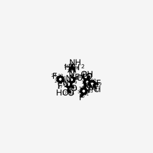 N[C@@H]1[C@H]2CN(c3nc4c(cc3F)c(=O)c(C(=O)O)cn4-c3ccc(F)cc3F)C[C@@H]12.O=C(O)c1cn(-c2ccc(F)cc2F)c2nc(Cl)c(F)cc2c1=O